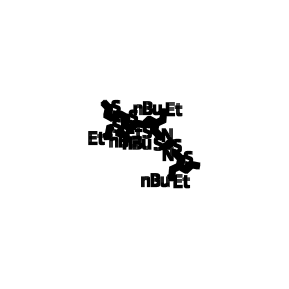 CCCCC(CC)Cc1cc(C)sc1-c1nc2sc(-c3sc(-c4cc5c(s4)-c4sc(C)cc4[Si]5(CC(CC)CCCC)CC(CC)CCCC)cc3CC(CC)CCCC)nc2s1